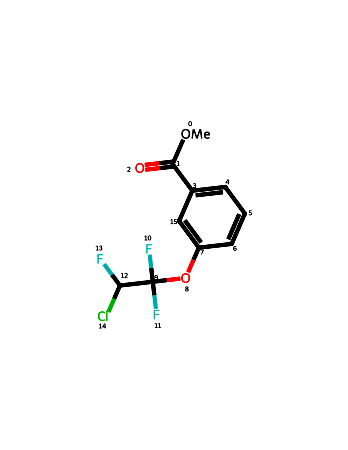 COC(=O)c1cccc(OC(F)(F)C(F)Cl)c1